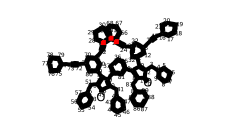 O=C1C(Cc2ccccc2)=C(c2cc(C#Cc3ccccc3)cc(C#Cc3ccccc3)c2)C(c2cccc(C3=C(Cc4ccccc4)C(=O)C(Cc4ccccc4)=C3c3cc(C#Cc4ccccc4)cc(C#Cc4ccccc4)c3)c2)=C1Cc1ccccc1